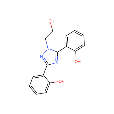 OCCn1nc(-c2ccccc2O)nc1-c1ccccc1O